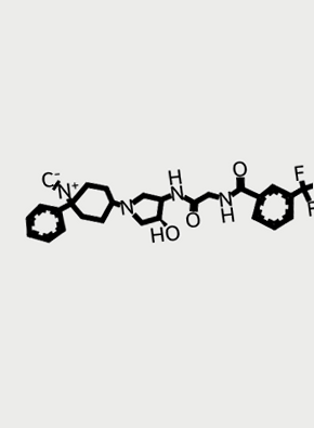 [C-]#[N+]C1(c2ccccc2)CCC(N2CC(NC(=O)CNC(=O)c3cccc(C(F)(F)F)c3)[C@@H](O)C2)CC1